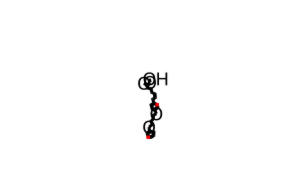 O=C(CCC/C=C\Cc1ccc(OCCCCOc2ccccc2)cc1)OO